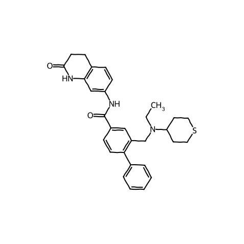 CCN(Cc1cc(C(=O)Nc2ccc3c(c2)NC(=O)CC3)ccc1-c1ccccc1)C1CCSCC1